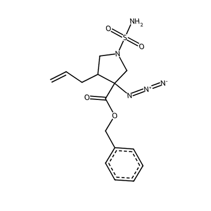 C=CCC1CN(S(N)(=O)=O)CC1(N=[N+]=[N-])C(=O)OCc1ccccc1